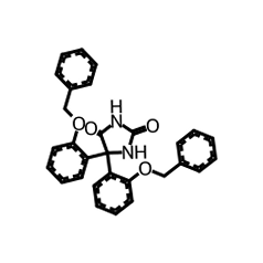 O=C1NC(=O)C(c2ccccc2OCc2ccccc2)(c2ccccc2OCc2ccccc2)N1